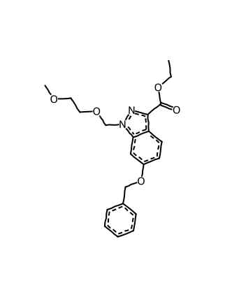 CCOC(=O)c1nn(COCCOC)c2cc(OCc3ccccc3)ccc12